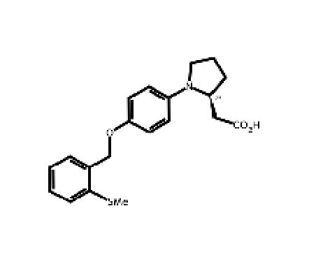 CSc1ccccc1COc1ccc(N2CCC[C@H]2CC(=O)O)cc1